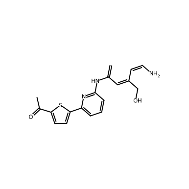 C=C(/C=C(\C=C/N)CO)Nc1cccc(-c2ccc(C(C)=O)s2)n1